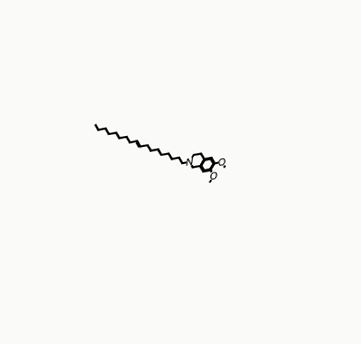 CCCCCCCCC=CCCCCCCCCN1CCc2cc(OC)c(OC)cc2C1